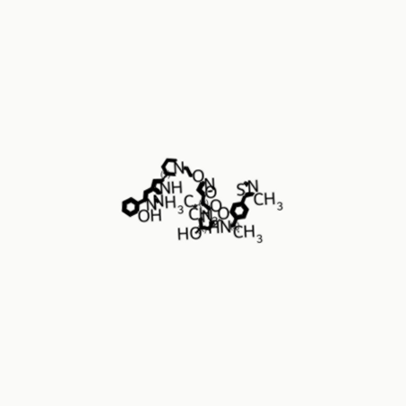 Cc1ncsc1-c1ccc([C@H](C)NC(=O)[C@@H]2C[C@@H](O)CN2C(=O)[C@@H](c2cc(OCCN3CCC[C@H](c4cc5cc(-c6ccccc6O)nnc5[nH]4)C3)no2)C(C)C)cc1